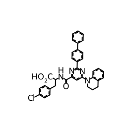 O=C(NC(Cc1ccc(Cl)cc1)C(=O)O)c1cc(N2CCCc3ccccc32)nc(-c2ccc(-c3ccccc3)cc2)n1